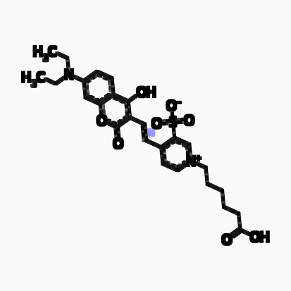 CCN(CC)c1ccc2c(O)c(/C=C/c3cc[n+](CCCCCC(=O)O)cc3S(=O)(=O)[O-])c(=O)oc2c1